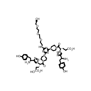 C#CCOCCOCCOCCNc1nc(N2CCN(C(=O)[C@H](CCC(=O)O)n3cc(C(N)Cc4ccc(O)cc4)nn3)CC2)nc(N2CCN(C(=O)[C@H](CCC(=O)O)n3cc(C(N)Cc4ccc(O)cc4)nn3)CC2)n1.Cl